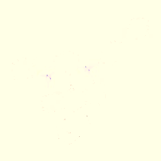 c1ccc(-c2ccc(N3c4cccc5c4B4c6c(cccc6C6(c7cccc3c74)C3CC4CC(C3)CC6C4)N5c3ccccc3)cc2)cc1